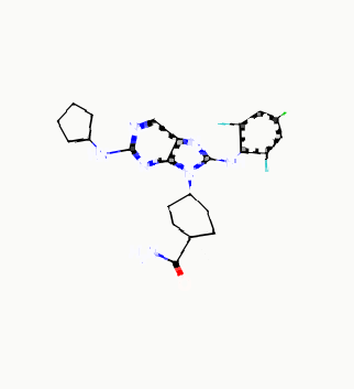 C[C@]1(C(N)=O)CC[C@@H](n2c(Nc3c(F)cc(Cl)cc3F)nc3cnc(NC4CCCC4)nc32)CC1